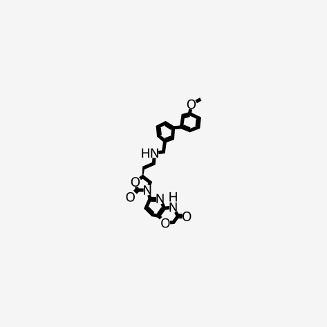 COc1cccc(-c2cccc(CNCC[C@H]3CN(c4ccc5c(n4)NC(=O)CO5)C(=O)O3)c2)c1